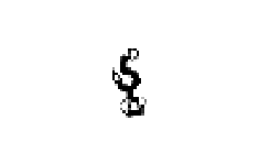 O=Cc1ccc(C2OCCO2)cn1